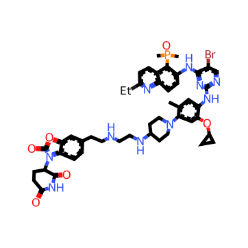 CCc1ccc2c(P(C)(C)=O)c(Nc3nc(Nc4cc(C)c(N5CCC(NCCNCCc6ccc7c(c6)oc(=O)n7C6CCC(=O)NC6=O)CC5)cc4OC4CC4)ncc3Br)ccc2n1